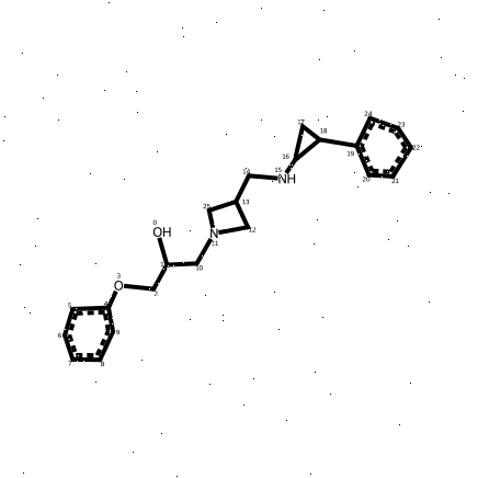 OC(COc1ccccc1)CN1CC(CNC2CC2c2ccccc2)C1